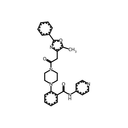 Cc1oc(-c2ccccc2)nc1CC(=O)N1CCN(c2ccccc2C(=O)Nc2ccncc2)CC1